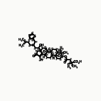 CC(C)C1=C2[C@H]3CC[C@@H]4[C@@]5(C)CC[C@H](OC(=O)CC(C)(C)C(=O)O)C(C)(C)[C@@H]5CC[C@@]4(C)[C@]3(C)CCC2(C(O)CN(CCN(C)C)Cc2cscn2)CC1=O